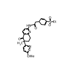 CCS(=O)(=O)C1=CCC(CC(=O)Nc2ccc3c(n2)CCC(C)(c2ccc(OC)nn2)C3=O)C=C1